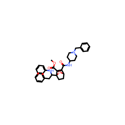 COC(=O)C1=C(C(=O)NC2CCN(Cc3ccccc3)CC2)C2CCC1(C(Cc1ccccc1)Nc1ccccc1)O2